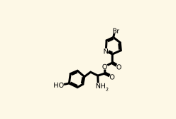 NC(Cc1ccc(O)cc1)C(=O)OC(=O)c1ccc(Br)cn1